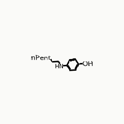 CCCCCCCNc1ccc(O)cc1